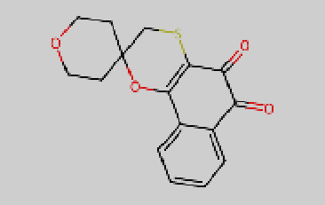 O=C1C(=O)c2ccccc2C2=C1SCC1(CCOCC1)O2